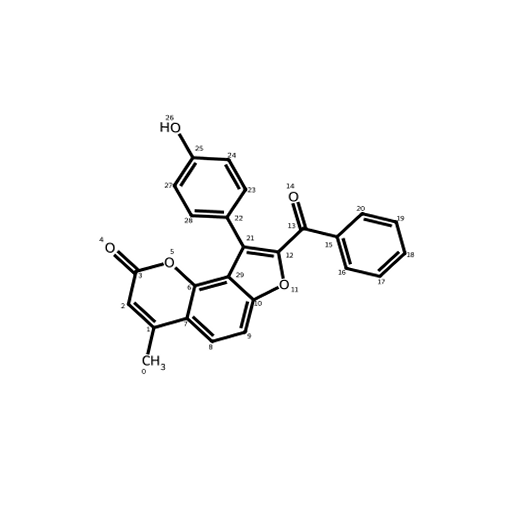 Cc1cc(=O)oc2c1ccc1oc(C(=O)c3ccccc3)c(-c3ccc(O)cc3)c12